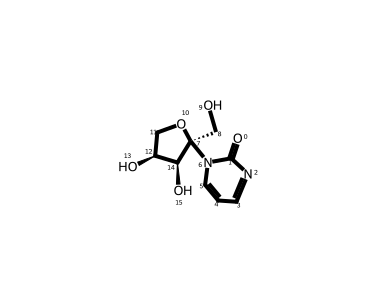 O=c1ncccn1[C@]1(CO)OC[C@H](O)[C@@H]1O